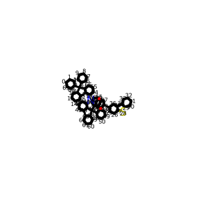 c1ccc(C2(c3ccccc3)c3ccccc3-c3c(N(c4ccc(-c5ccc6sc7ccccc7c6c5)cc4)c4cccc5c4C(c4ccccc4)(c4ccccc4)c4ccccc4-5)cccc32)cc1